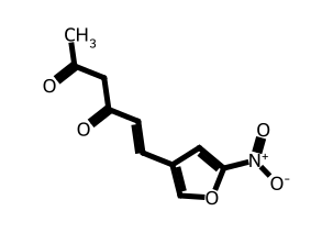 CC(=O)CC(=O)C=Cc1coc([N+](=O)[O-])c1